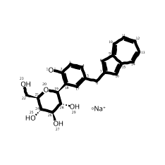 [Na+].[O-]c1ccc(Cc2cc3cccccc-3c2)cc1[C@@H]1O[C@H](CO)[C@@H](O)[C@H](O)[C@H]1O